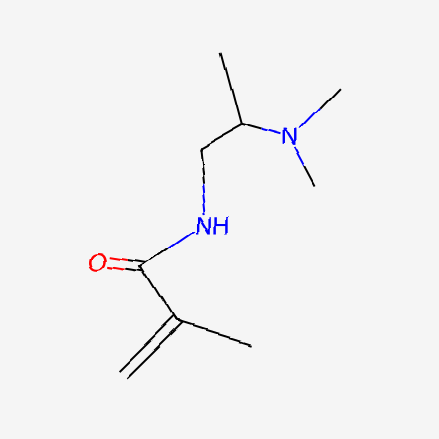 C=C(C)C(=O)NCC(C)N(C)C